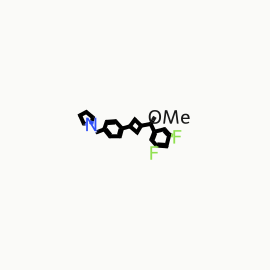 COC(c1cc(F)cc(F)c1)C1CC(c2ccc(CN3CCCC3)cc2)C1